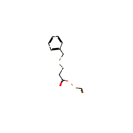 O=C(CCSCc1ccccc1)OSC=S